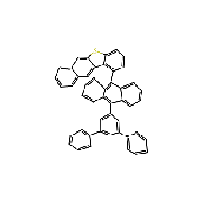 c1ccc(-c2cc(-c3ccccc3)cc(-c3c4ccccc4c(-c4cccc5sc6cc7ccccc7cc6c45)c4ccccc34)c2)cc1